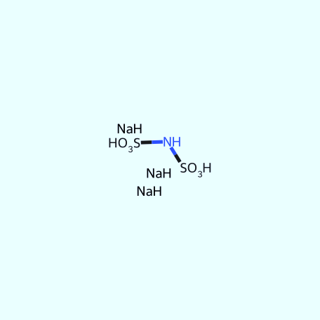 O=S(=O)(O)NS(=O)(=O)O.[NaH].[NaH].[NaH]